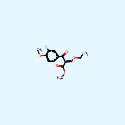 CCO/C=C(/C(=O)OC)C(=O)c1ccc(OC)c(F)c1